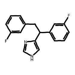 Fc1cccc(CC(c2cccc(F)c2)c2c[nH]cn2)c1